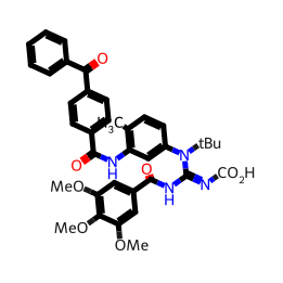 COc1cc(C(=O)NC(=NC(=O)O)N(c2ccc(C)c(NC(=O)c3ccc(C(=O)c4ccccc4)cc3)c2)C(C)(C)C)cc(OC)c1OC